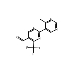 Cc1ncncc1-c1ncc(C=O)c(C(F)(F)F)n1